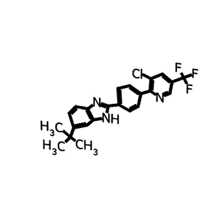 CC(C)(C)c1ccc2nc(-c3ccc(-c4ncc(C(F)(F)F)cc4Cl)cc3)[nH]c2c1